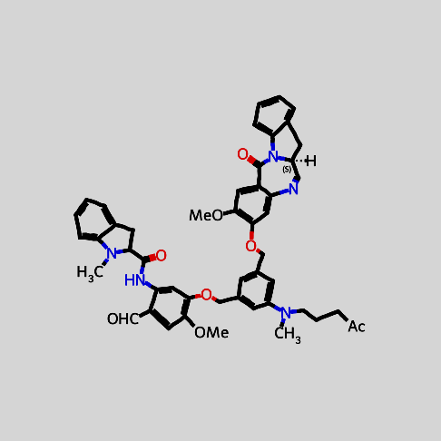 COc1cc2c(cc1OCc1cc(COc3cc(NC(=O)C4Cc5ccccc5N4C)c(C=O)cc3OC)cc(N(C)CCCC(C)=O)c1)N=C[C@@H]1Cc3ccccc3N1C2=O